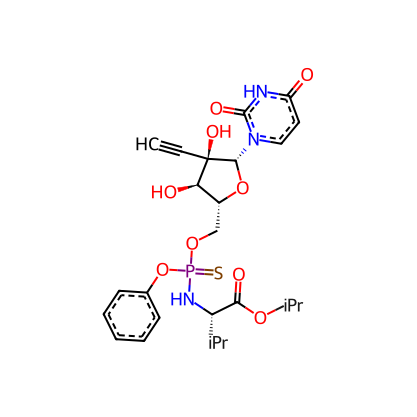 C#C[C@@]1(O)[C@H](O)[C@@H](COP(=S)(N[C@H](C(=O)OC(C)C)C(C)C)Oc2ccccc2)O[C@H]1n1ccc(=O)[nH]c1=O